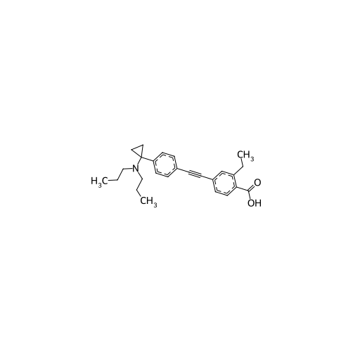 CCCN(CCC)C1(c2ccc(C#Cc3ccc(C(=O)O)c(CC)c3)cc2)CC1